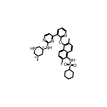 Cc1ccc2c(NS(=O)(=O)C3CCCCC3)c(F)ccc2c1Oc1ncccc1-c1ccnc(N[C@@H]2CNC[C@H](C)C2)n1